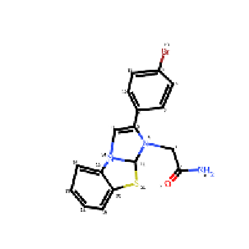 NC(=O)CN1C(c2ccc(Br)cc2)=CN2c3ccccc3SC12